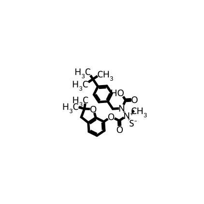 CC1(C)Cc2cccc(OC(=O)[N+](C)([S-])N(Cc3ccc(C(C)(C)C)cc3)C(=O)O)c2O1